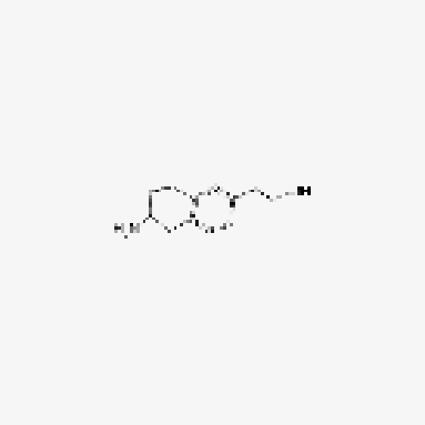 NC1CCc2cc(CCO)ccc2C1